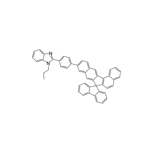 CCCn1c(-c2ccc(-c3ccc4cc5c(cc4c3)C3(c4ccccc4-c4ccccc43)c3ccc4ccccc4c3-5)cc2)nc2ccccc21